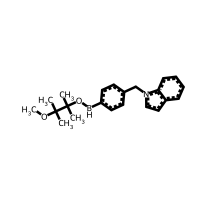 COC(C)(C)C(C)(C)OBc1ccc(Cn2ccc3ccccc32)cc1